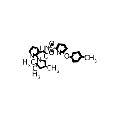 Cc1ccc(Oc2cccc(S(=O)(=O)NC(=O)c3cccnc3N3CC(C)CC3(C)C)n2)cc1